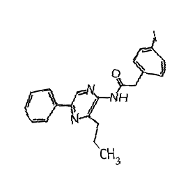 CCCc1nc(-c2ccccc2)cnc1NC(=O)Cc1ccc(I)cc1